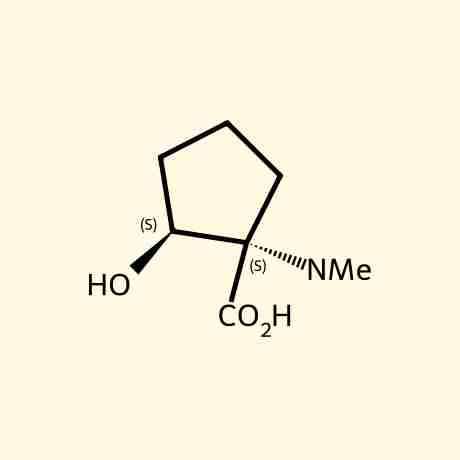 CN[C@@]1(C(=O)O)CCC[C@@H]1O